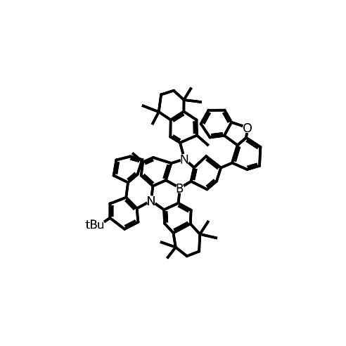 Cc1cc2c3c(c1)N(c1ccc(C(C)(C)C)cc1-c1ccccc1)c1cc4c(cc1B3c1ccc(-c3cccc5oc6ccccc6c35)cc1N2c1cc2c(cc1C)C(C)(C)CCC2(C)C)C(C)(C)CCC4(C)C